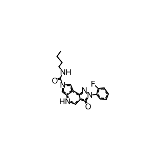 CCCCNC(=O)n1cc2[nH]cc3c(=O)n(-c4ccccc4F)nc-3c2c1